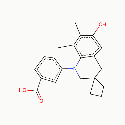 Cc1c(O)cc2c(c1C)N(c1cccc(C(=O)O)c1)CC1(CCC1)C2